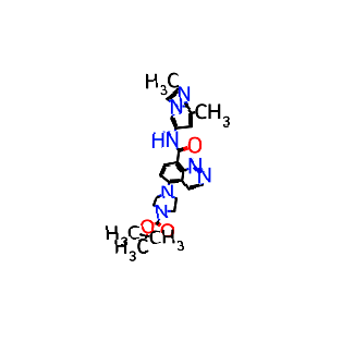 Cc1cn2cc(NC(=O)c3ccc(N4CCN(C(=O)OC(C)(C)C)CC4)c4ccnnc34)cc(C)c2n1